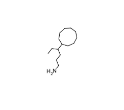 CCC(CCCN)C1CCCCCCCC1